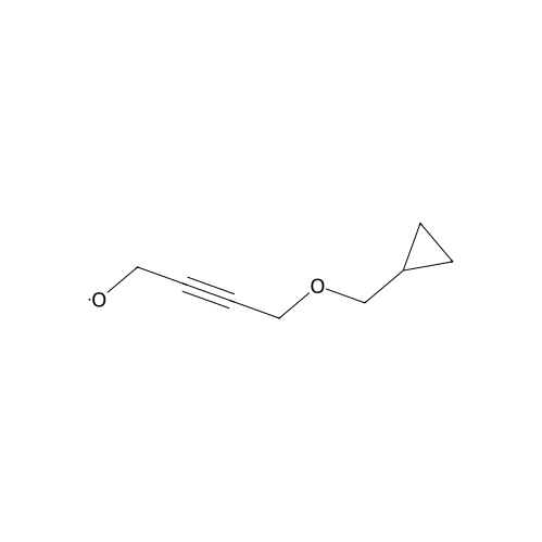 [O]CC#CCOCC1CC1